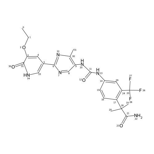 CCOc1cc(-c2ncc(NC(=O)Nc3ccc(C(C)(C)C(N)=O)c(C(F)(F)F)c3)c(C)n2)c[nH]c1=O